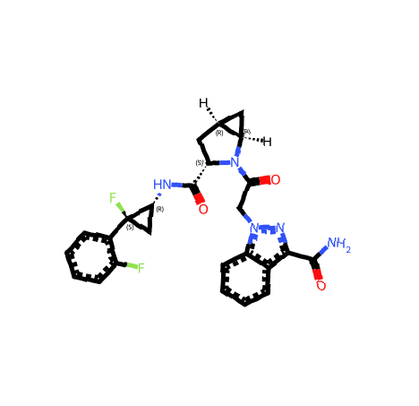 NC(=O)c1nn(CC(=O)N2[C@@H]3C[C@@H]3C[C@H]2C(=O)N[C@@H]2C[C@]2(F)c2ccccc2F)c2ccccc12